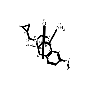 COc1ccc2c(c1)[C@@]13CCN(CC4CC4)[C@@H](C2)C1OC(=O)C(N)C3